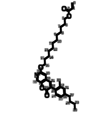 C=CC(=O)OCCCCCCCCCCCCOc1cc2cc(-c3ccc(CCCC)cc3C)c(=O)oc2cn1